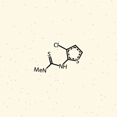 CNC(=S)Nc1sccc1Cl